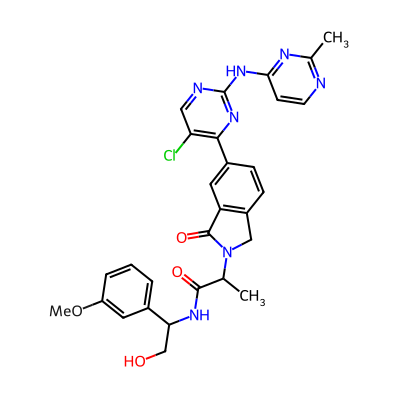 COc1cccc(C(CO)NC(=O)C(C)N2Cc3ccc(-c4nc(Nc5ccnc(C)n5)ncc4Cl)cc3C2=O)c1